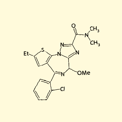 CCc1cc2c(s1)-n1nc(C(=O)N(C)C)nc1C(OC)N=C2c1ccccc1Cl